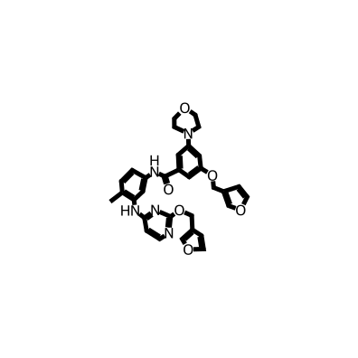 Cc1ccc(NC(=O)c2cc(OCc3ccoc3)cc(N3CCOCC3)c2)cc1Nc1ccnc(OCc2ccoc2)n1